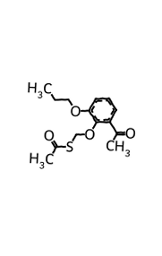 CCCOc1cccc(C(C)=O)c1OCSC(C)=O